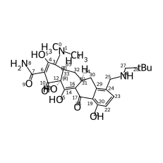 CN(C)C1C(O)=C(C(N)=O)C(=O)[C@]2(O)C(O)=C3C(=O)c4c(O)ccc(CNCC(C)(C)C)c4C[C@@H]3C[C@H]12